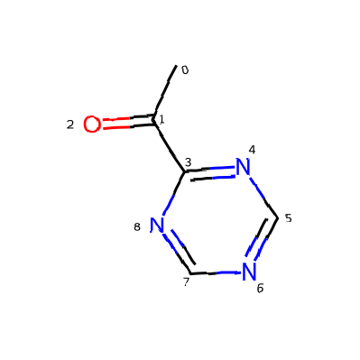 CC(=O)c1ncncn1